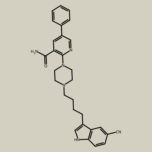 N#Cc1ccc2[nH]cc(CCCCN3CCN(c4ncc(-c5ccccc5)cc4C(N)=O)CC3)c2c1